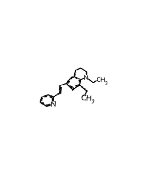 CCc1cc(/C=C/c2ccccn2)cc2c1N(CC)CCC2